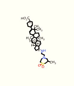 CC1CN(CCN[C@@H]2CC[C@H]3C2CC[C@]2(C)[C@@H]3CCC3[C@@]4(C)CC=C(C5=CC[C@H](C(=O)O)CC5)C(C)(C)C4CC[C@]32C)CCS(=O)(=O)C1